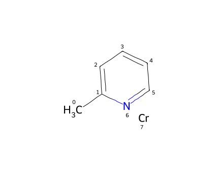 Cc1ccccn1.[Cr]